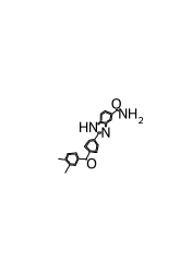 Cc1ccc(C(=O)c2ccc(-c3nc4cc(C(N)=O)ccc4[nH]3)cc2)cc1C